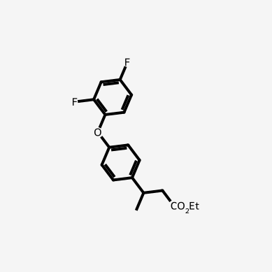 CCOC(=O)CC(C)c1ccc(Oc2ccc(F)cc2F)cc1